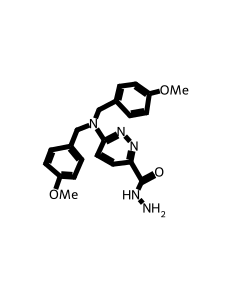 COc1ccc(CN(Cc2ccc(OC)cc2)c2ccc(C(=O)NN)nn2)cc1